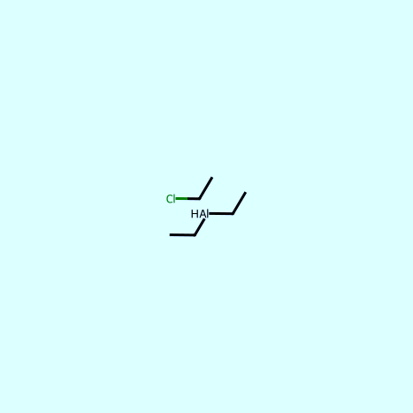 CCCl.C[CH2][AlH][CH2]C